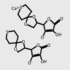 O=C1OC(C2COC3(CCSCC3)O2)C([O-])=C1O.O=C1OC(C2COC3(CCSCC3)O2)C([O-])=C1O.[Ca+2]